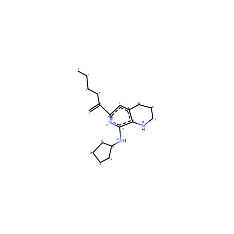 C=C(CCCC)c1cc2c(c(NC3CCCC3)n1)NCCC2